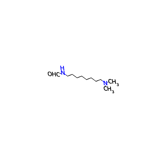 CN(C)CCCCCCCCNC=O